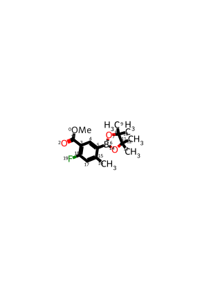 COC(=O)c1cc(B2OC(C)(C)C(C)(C)O2)c(C)cc1F